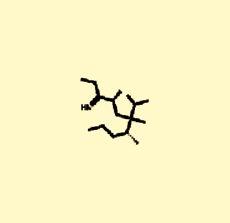 CCC[C@@H](C)C(C)(C[C@H](C)C(=N)CC)C(C)C